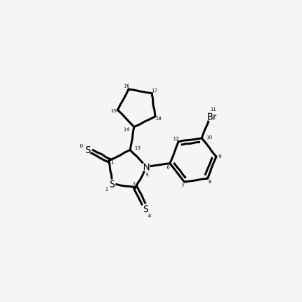 S=C1SC(=S)N(c2cccc(Br)c2)C1C1CCCC1